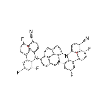 N#Cc1ccc(N(c2c(F)cc(F)cc2-c2ccc(F)cc2)c2ccc3ccc4c(N(c5ccc(C#N)cc5)c5c(F)cc(F)cc5-c5ccc(F)cc5)ccc5ccc2c3c54)cc1